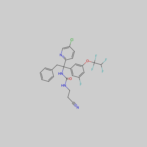 N#CCCNC(=O)NC(Cc1ccccc1)(c1cc(F)cc(OC(F)(F)C(F)F)c1)c1ccc(Cl)cn1